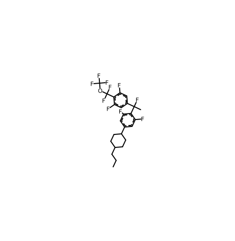 CCCC1CCC(c2cc(F)c(C(C)(F)c3cc(F)c(C(F)(F)OC(F)(F)F)c(F)c3)c(F)c2)CC1